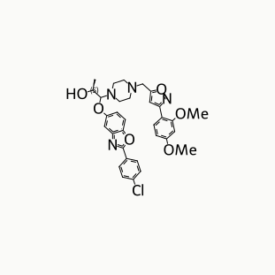 COc1ccc(-c2cc(CN3CCN(C(Oc4ccc5oc(-c6ccc(Cl)cc6)nc5c4)[C@H](C)O)CC3)on2)c(OC)c1